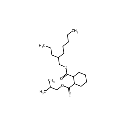 CCCCCC(CCC)COC(=O)C1CCCCC1C(=O)OCC(C)C